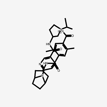 Cc1cc(C(=O)NC2CC3CCC(C2)N3c2ccc(C(=O)NC3CCN(C(C)C)C3)cn2)c(C)cc1C(N)=O